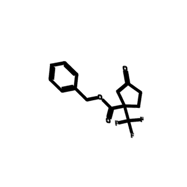 O=C1CCC(C(=O)OCc2ccccc2)(C(F)(F)F)C1